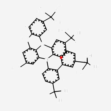 Cc1cc2c3c(c1)N(c1ccc(C(C)(C)C)cc1-c1cccc(C(C)(C)C)c1)c1ccc(C(C)(C)C)cc1B3c1cc(C(C)(C)C)ccc1O2